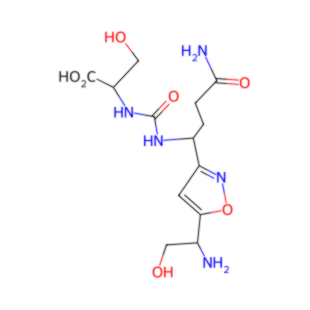 NC(=O)CCC(NC(=O)NC(CO)C(=O)O)c1cc(C(N)CO)on1